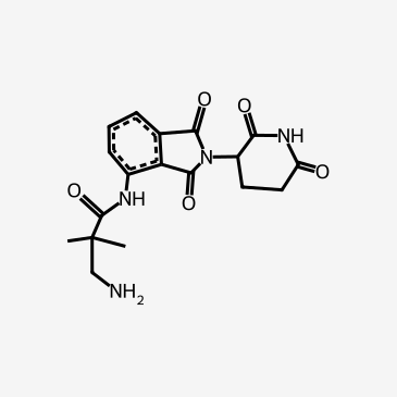 CC(C)(CN)C(=O)Nc1cccc2c1C(=O)N(C1CCC(=O)NC1=O)C2=O